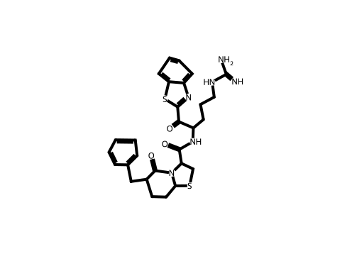 N=C(N)NCCCC(NC(=O)C1CSC2CCC(Cc3ccccc3)C(=O)N21)C(=O)c1nc2ccccc2s1